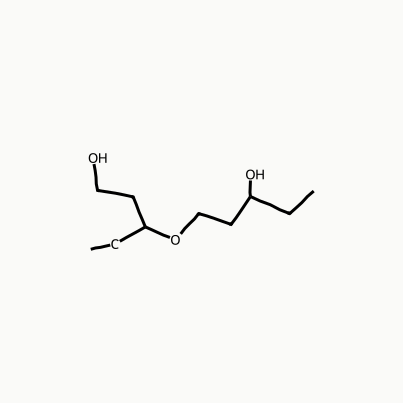 CCC(O)CCOC(CC)CCO